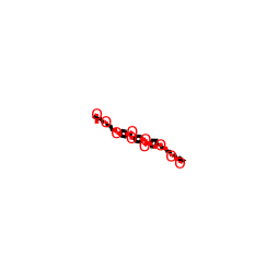 CC1(CCOCCCCOC2CCC(C(=O)OC3CCC(OC(=O)C4CCC(OCCCCOCCC5(C)CO5)CC4)CC3)CC2)CO1